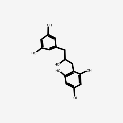 Oc1cc(O)cc(CC(O)Cc2c(O)cc(O)cc2O)c1